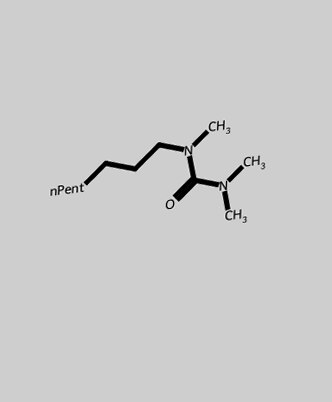 CCCCCCCCN(C)C(=O)N(C)C